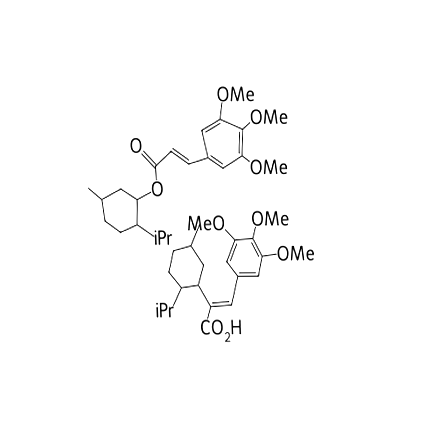 COc1cc(C=C(C(=O)O)C2CC(C)CCC2C(C)C)cc(OC)c1OC.COc1cc(C=CC(=O)OC2CC(C)CCC2C(C)C)cc(OC)c1OC